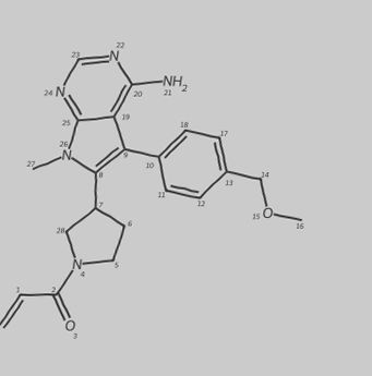 C=CC(=O)N1CCC(c2c(-c3ccc(COC)cc3)c3c(N)ncnc3n2C)C1